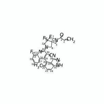 C=CC(=O)N1CC2(C1)CN(c1nc3c(F)cccc3c(-c3c(C)ccc4[nH]ncc34)c1C#N)CC2(F)F